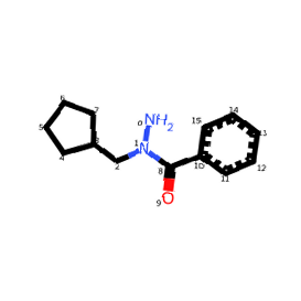 NN(CC1CCCC1)C(=O)c1ccccc1